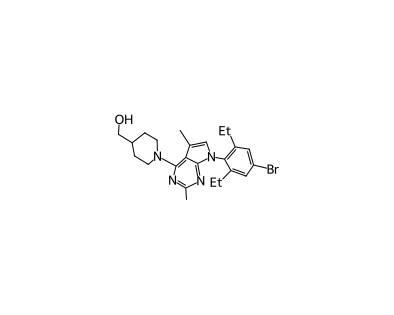 CCc1cc(Br)cc(CC)c1-n1cc(C)c2c(N3CCC(CO)CC3)nc(C)nc21